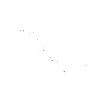 COS(=O)COC(=O)CCCCC(=O)OC[S+](C)[O-]